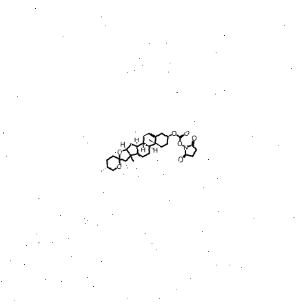 C[C@@H]1CCC2(OC1)O[C@H]1C[C@@H]3C(CC[C@H]4[C@H]3CC=C3C[C@@H](OC(=O)ON5C(=O)CCC5=O)CC[C@@]34C)C1(C)[C@@H]2C